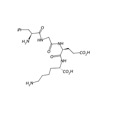 CC(C)C[C@H](N)C(=O)NCC(=O)N[C@@H](CCC(=O)O)C(=O)N[C@@H](CCCCN)C(=O)O